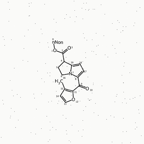 CCCCCCCCCOC(=O)C1CCn2c(C(=O)c3occc3C)ccc21